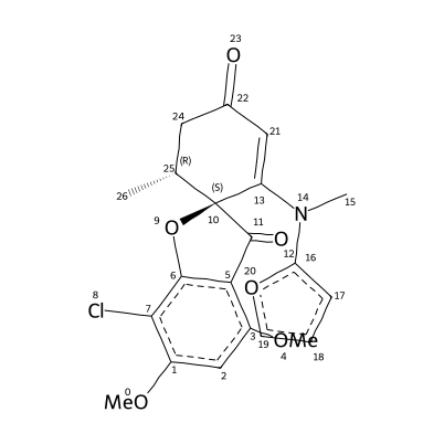 COc1cc(OC)c2c(c1Cl)O[C@]1(C2=O)C(N(C)c2ccco2)=CC(=O)C[C@H]1C